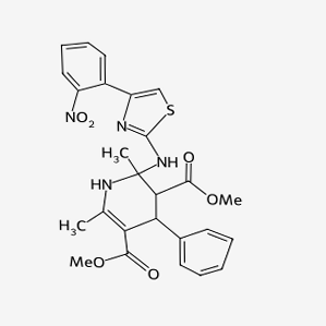 COC(=O)C1=C(C)NC(C)(Nc2nc(-c3ccccc3[N+](=O)[O-])cs2)C(C(=O)OC)C1c1ccccc1